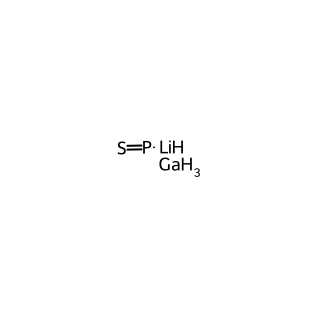 [GaH3].[LiH].[P]=S